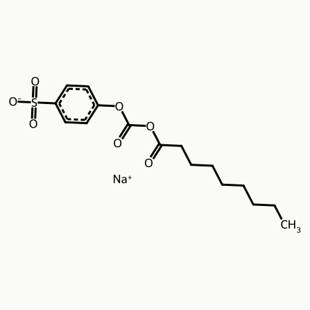 CCCCCCCCC(=O)OC(=O)Oc1ccc(S(=O)(=O)[O-])cc1.[Na+]